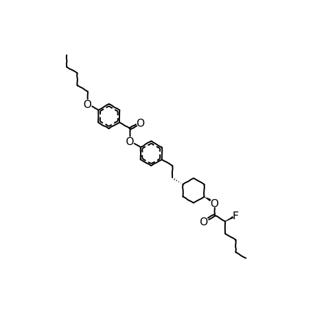 CCCCCOc1ccc(C(=O)Oc2ccc(CC[C@H]3CC[C@H](OC(=O)[C@@H](F)CCCC)CC3)cc2)cc1